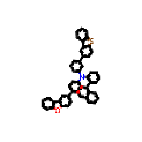 c1cc(-c2ccc3sc4ccccc4c3c2)cc(N(c2ccc(-c3ccc4oc5ccccc5c4c3)cc2)c2ccccc2-c2cccc3ccccc23)c1